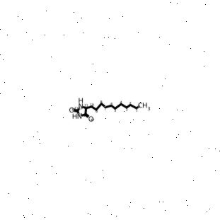 CCCCCCCCCCCC1NC(=O)NC1=O